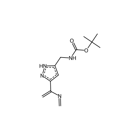 C=NC(=C)c1cc(CNC(=O)OC(C)(C)C)[nH]n1